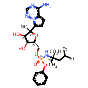 CCC(CC)C[C@](C)(N[P@@](=O)(OC[C@H]1O[C@@](C#N)(c2ccc3c(N)ncnn23)[C@H](O)[C@@H]1O)Oc1ccccc1)C(=O)O